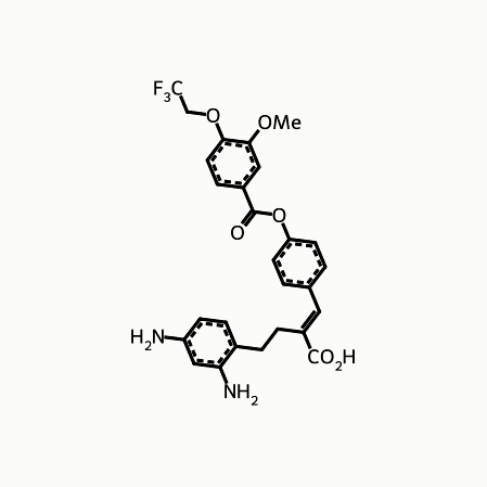 COc1cc(C(=O)Oc2ccc(C=C(CCc3ccc(N)cc3N)C(=O)O)cc2)ccc1OCC(F)(F)F